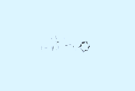 CC(C)(C)OC(=O)CCCSc1ccccc1